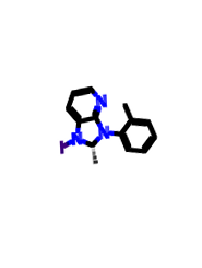 Cc1ccccc1N1c2ncccc2N(I)[C@H]1C